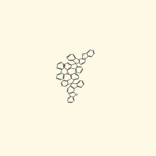 c1ccc(-c2ccccc2N(c2cccc3c2-c2ccccc2C32c3ccccc3-c3c2ccc2c3oc3ccccc32)c2cccc3c2-c2ccccc2C32c3ccccc3-c3c2ccc2c3oc3ccccc32)cc1